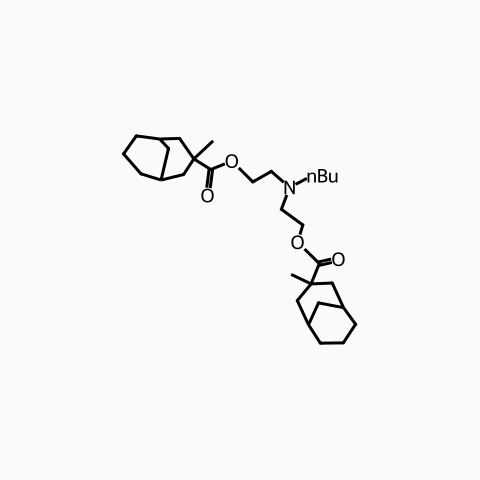 CCCCN(CCOC(=O)C1(C)CC2CCCC(C2)C1)CCOC(=O)C1(C)CC2CCCC(C2)C1